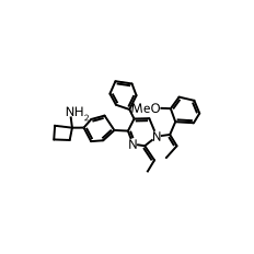 CC=C1N=C(c2ccc(C3(N)CCC3)cc2)C(c2ccccc2)=CN1/C(=C\C)c1ccccc1OC